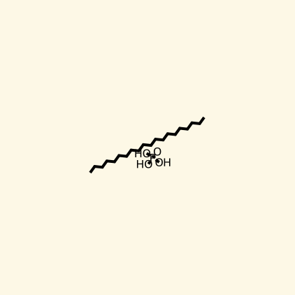 CCCCCCCCCCCCCCCCCCCC.O=P(O)(O)O